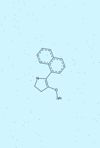 CCCOC1=C(c2cccc3ccccc23)[N]CC1